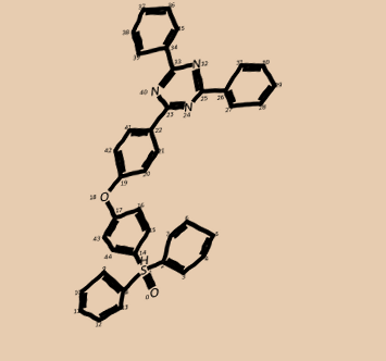 O=[SH](c1ccccc1)(c1ccccc1)c1ccc(Oc2ccc(-c3nc(-c4ccccc4)nc(-c4ccccc4)n3)cc2)cc1